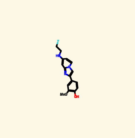 COc1cc(-c2cn3ccc(NCCF)cc3n2)ccc1O